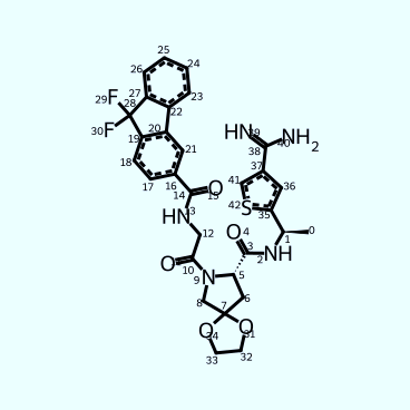 C[C@@H](NC(=O)[C@@H]1CC2(CN1C(=O)CNC(=O)c1ccc3c(c1)-c1ccccc1C3(F)F)OCCO2)c1cc(C(=N)N)cs1